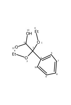 CCOC(OCC)(c1ccccc1)C([O])O